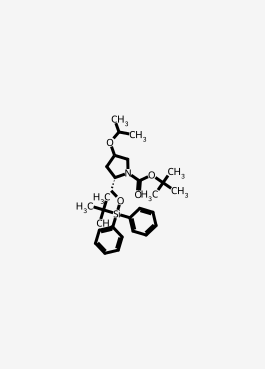 CC(C)OC1C[C@@H](CO[Si](c2ccccc2)(c2ccccc2)C(C)(C)C)N(C(=O)OC(C)(C)C)C1